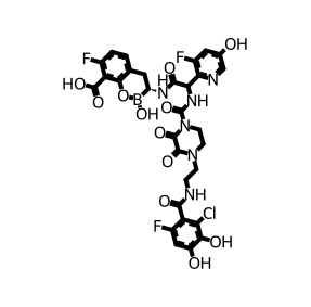 O=C(NCCN1CCN(C(=O)NC(C(=O)N[C@H]2Cc3ccc(F)c(C(=O)O)c3OB2O)c2ncc(O)cc2F)C(=O)C1=O)c1c(F)cc(O)c(O)c1Cl